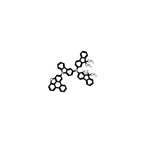 CC1(C)c2ccccc2-c2ccc(N(c3ccc4c(c3)C(C)(C)c3ccccc3-4)c3ccc4c(c3)c3ccccc3n4-c3cc4oc5cccc6c7ccccc7c(c3)c4c56)cc21